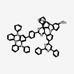 CC(C)(C)c1ccc2c(c1)c1cc(C(C)(C)C)ccc1n2-c1ccc(-c2cc(-c3ccccc3)nc(-c3ccccc3)n2)cc1-c1cc(-c2ccccc2)nc(-c2ccc(-c3cc4c5c(c3)N(c3ccccc3)c3ccccc3B5c3ccccc3N4c3ccccc3)cc2)n1